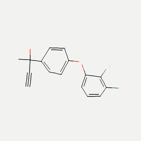 C#CC(C)(O)c1ccc(Oc2cccc(Cl)c2Cl)cc1